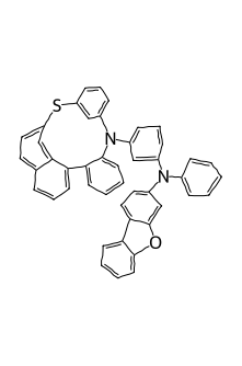 c1ccc(N(c2cccc(-n3c4cccc(c4)sc4ccc5cccc(c5c4)c4ccccc43)c2)c2ccc3c(c2)oc2ccccc23)cc1